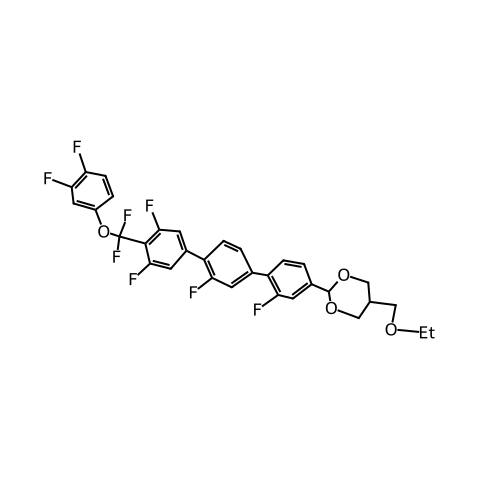 CCOCC1COC(c2ccc(-c3ccc(-c4cc(F)c(C(F)(F)Oc5ccc(F)c(F)c5)c(F)c4)c(F)c3)c(F)c2)OC1